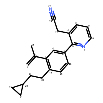 C=C(C)c1cc(-c2ncccc2CC#N)ccc1CCC1CC1